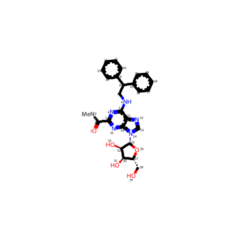 CNC(=O)c1nc(NCC(c2ccccc2)c2ccccc2)c2ncn([C@@H]3O[C@H](CO)[C@@H](O)[C@H]3O)c2n1